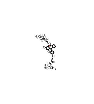 CC(C)(C)OC(=O)NCCCOC(=O)c1ccccc1-c1c2ccc(=O)cc-2oc2cc(OCCCNC(=O)OC(C)(C)C)ccc12